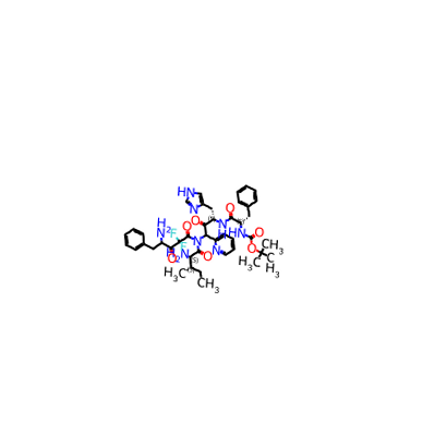 CC[C@H](C)[C@H](N)C(=O)N(C(=O)C(F)(F)C(=O)C(N)Cc1ccccc1)C(C(=O)[C@H](Cc1c[nH]cn1)NC(=O)[C@H](Cc1ccccc1)NC(=O)OC(C)(C)C)c1ccccn1